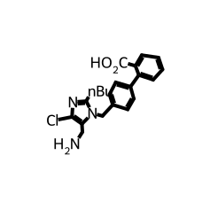 CCCCc1nc(Cl)c(CN)n1Cc1ccc(-c2ccccc2C(=O)O)cc1